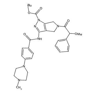 CCC(C)OC(=O)n1nc(NC(=O)c2ccc(N3CCN(C)CC3)cc2)c2c1CN(C(=O)C(OC)c1ccccc1)C2